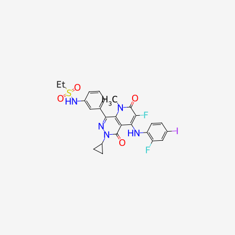 CCS(=O)(=O)Nc1cccc(-c2nn(C3CC3)c(=O)c3c(Nc4ccc(I)cc4F)c(F)c(=O)n(C)c23)c1